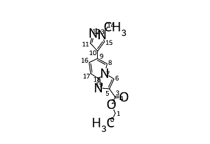 CCOC(=O)c1cn2cc(-c3cnn(C)c3)ccc2n1